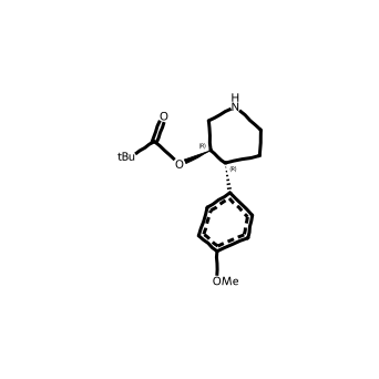 COc1ccc([C@H]2CCNC[C@@H]2OC(=O)C(C)(C)C)cc1